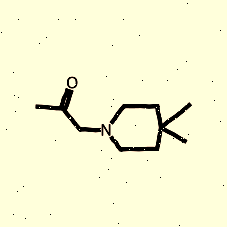 CC(=O)CN1CCC(C)(C)CC1